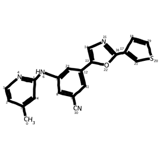 Cc1ccnc(Nc2cc(C#N)cc(-c3cnc(-c4ccsc4)o3)c2)c1